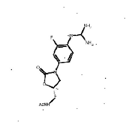 CC(=O)NC[C@H]1CN(c2ccc(NC(N)N)c(F)c2)C(=O)O1